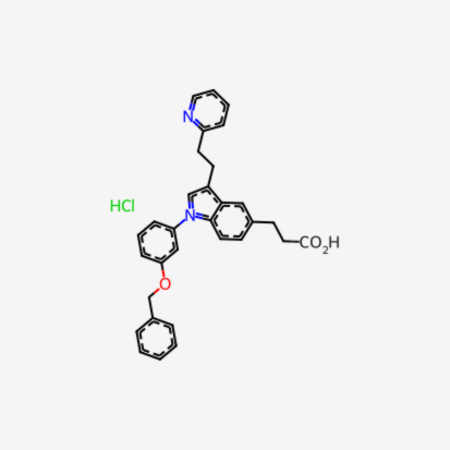 Cl.O=C(O)CCc1ccc2c(c1)c(CCc1ccccn1)cn2-c1cccc(OCc2ccccc2)c1